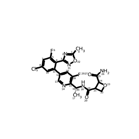 Cc1nc(-c2c(F)cc(Cl)cc2-c2cnc([C@@H](C)NC(=O)C3COC3C(N)=O)c(F)c2)no1